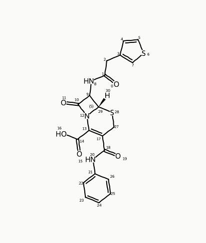 O=C(Cc1ccsc1)NC1C(=O)N2C(C(=O)O)=C(C(=O)Nc3ccccc3)CS[C@@H]12